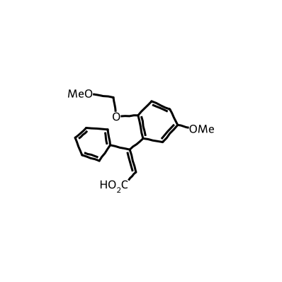 COCOc1ccc(OC)cc1C(=CC(=O)O)c1ccccc1